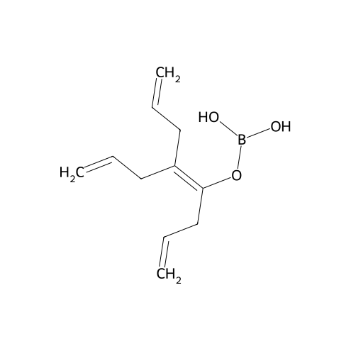 C=CCC(CC=C)=C(CC=C)OB(O)O